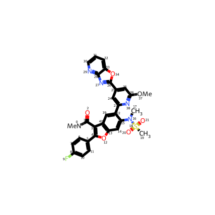 CNC(=O)c1c(-c2ccc(F)cc2)oc2cc(N(C)S(C)(=O)=O)c(-c3cc(-c4nc5ncccc5o4)cc(OC)n3)cc12